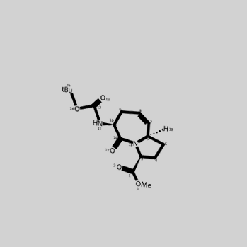 COC(=O)[C@@H]1CC[C@@H]2C=CC[C@H](NC(=O)OC(C)(C)C)C(=O)N21